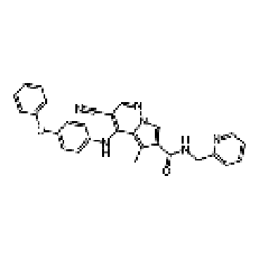 Cc1c(C(=O)NCc2ccccn2)cn2ncc(C#N)c(Nc3ccc(Oc4ccccc4)cc3)c12